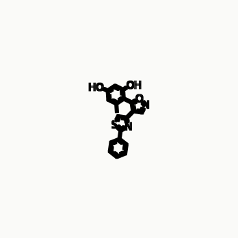 Cc1cc(O)cc(O)c1-c1oncc1-c1csc(-c2ccccc2)n1